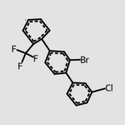 FC(F)(F)c1c[c]ccc1-c1ccc(-c2cccc(Cl)c2)c(Br)c1